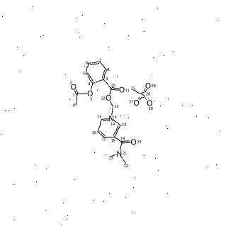 CC(=O)Oc1ccccc1C(=O)OC[n+]1cccc(C(=O)N(C)C)c1.CS(=O)(=O)[O-]